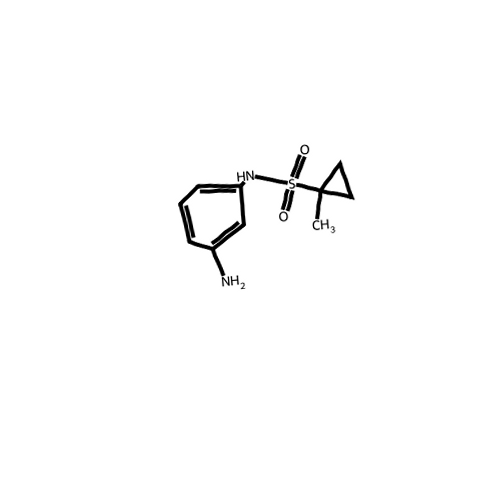 CC1(S(=O)(=O)Nc2cccc(N)c2)CC1